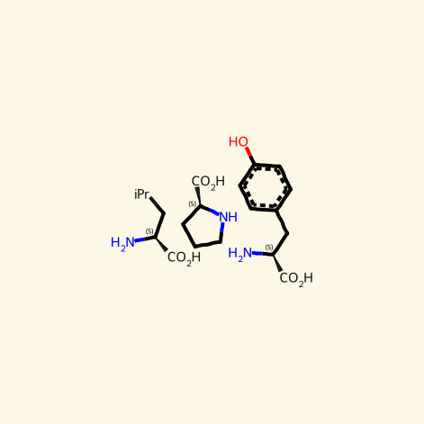 CC(C)C[C@H](N)C(=O)O.N[C@@H](Cc1ccc(O)cc1)C(=O)O.O=C(O)[C@@H]1CCCN1